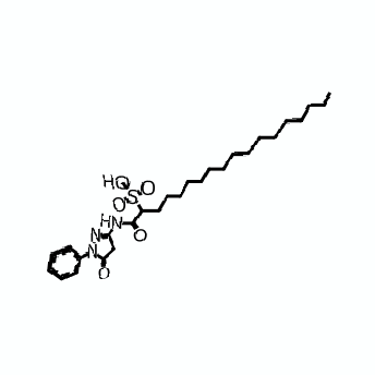 CCCCCCCCCCCCCCCCC(C(=O)NC1=NN(c2ccccc2)C(=O)C1)S(=O)(=O)O